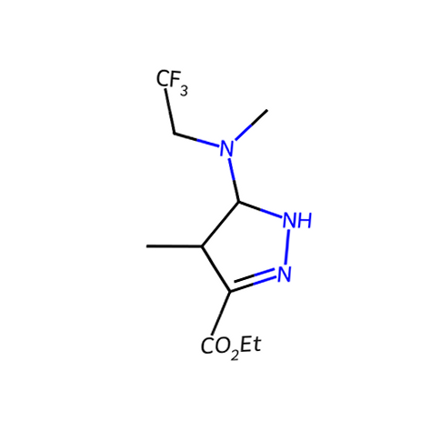 CCOC(=O)C1=NNC(N(C)CC(F)(F)F)C1C